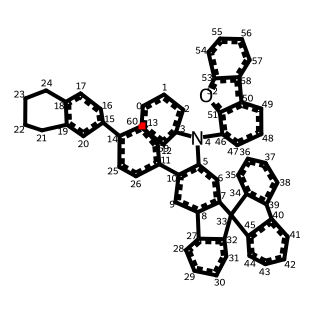 c1ccc(N(c2cc3c(cc2-c2ccc(-c4ccc5c(c4)CCCC5)cc2)-c2ccccc2C32c3ccccc3-c3ccccc32)c2cccc3c2oc2ccccc23)cc1